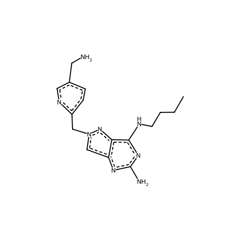 CCCCNc1nc(N)nc2cn(Cc3ccc(CN)cn3)nc12